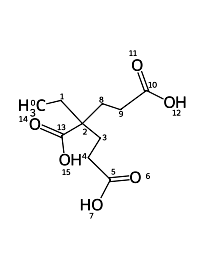 CCC(CCC(=O)O)(CCC(=O)O)C(=O)O